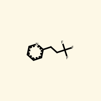 FC(F)(F)C[CH]c1ccccn1